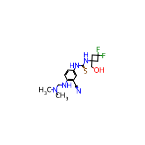 CN(C)CNc1ccc(NC(=S)NC2(CO)CC(F)(F)C2)cc1C#N